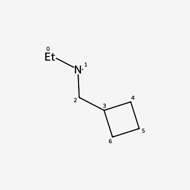 CC[N]CC1CCC1